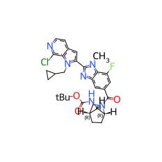 Cn1c(-c2cc3ccnc(Cl)c3n2CC2CC2)nc2cc(C(=O)N3C[C@H]4CC[C@@H]3[C@@H]4NC(=O)OC(C)(C)C)cc(F)c21